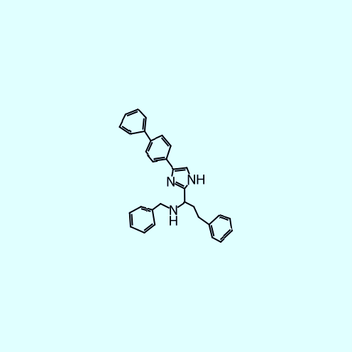 c1ccc(CCC(NCc2ccccc2)c2nc(-c3ccc(-c4ccccc4)cc3)c[nH]2)cc1